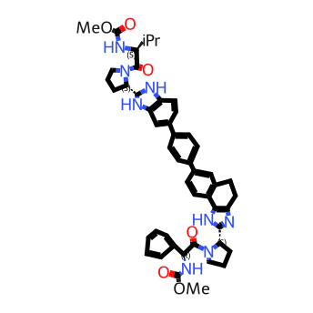 COC(=O)N[C@H](C(=O)N1CCC[C@H]1C1Nc2ccc(-c3ccc(-c4ccc5c(c4)CCc4nc([C@@H]6CCCN6C(=O)[C@H](NC(=O)OC)c6ccccc6)[nH]c4-5)cc3)cc2N1)C(C)C